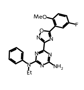 CCN(c1ccccc1)c1nc(N)nc(-c2noc(-c3cc(F)ccc3OC)n2)n1